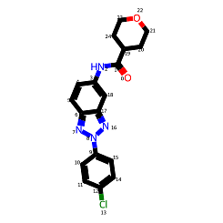 O=C(Nc1ccc2nn(-c3ccc(Cl)cc3)nc2c1)C1CCOCC1